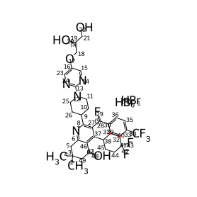 Br.Br.CC1(C)Cc2nc(C3CCN(c4ncc(OC[C@@H](O)CO)cn4)CC3)c([C@@H](F)c3ccc(C(F)(F)F)cc3)c(C3CCC(F)(F)CC3)c2[C@@H](O)C1